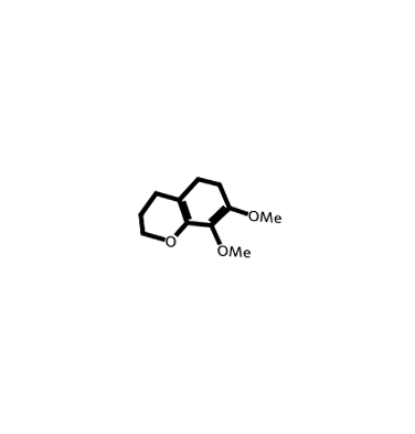 COC1=C(OC)C2=C(CCCO2)CC1